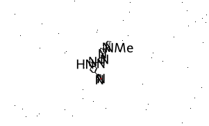 C/C=C\N(NC)C1CCN(c2cc(-c3n[nH]c4ccc(-c5cnn(C)c5)cc34)ncn2)C1